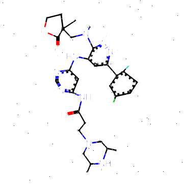 CC1CN(CCC(=O)Nc2cc(Nc3cc(-c4cc(Cl)ccc4F)nnc3N(C)CC3(C)CCOC3=O)ncn2)CC(C)N1